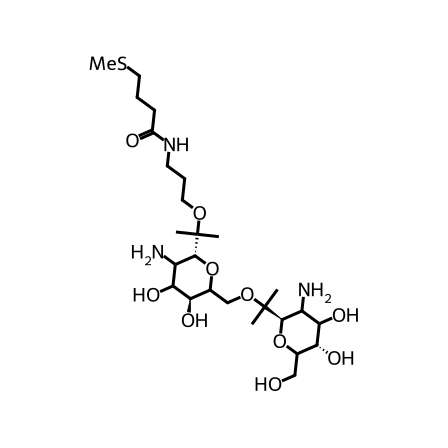 CSCCCC(=O)NCCCOC(C)(C)[C@@H]1OC(COC(C)(C)[C@@H]2OC(CO)[C@@H](O)C(O)C2N)[C@@H](O)C(O)C1N